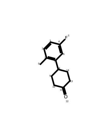 Cc1ccc(F)cc1C1CCC(=O)CC1